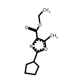 CCOC(=O)c1nc(C2CCCC2)oc1C